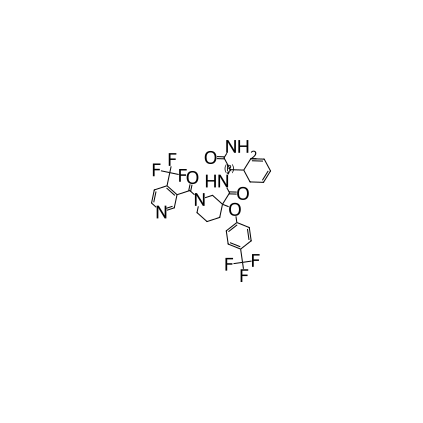 NC(=O)[C@H](NC(=O)C1(Oc2ccc(C(F)(F)F)cc2)CCCN(C(=O)c2cnccc2C(F)(F)F)C1)C1C=CC=CC1